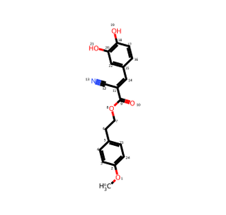 COc1ccc(CCOC(=O)C(C#N)=Cc2ccc(O)c(O)c2)cc1